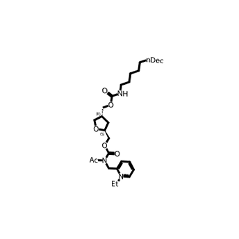 CCCCCCCCCCCCCCCNC(=O)OC[C@H]1CO[C@H](COC(=O)N(Cc2cccc[n+]2CC)C(C)=O)C1